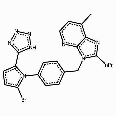 CCCc1nc2c(C)ccnc2n1Cc1ccc(-n2c(Br)ccc2-c2nnn[nH]2)cc1